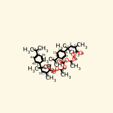 C/C(=C/C(C)(C)c1ccc(C(C)C)cc1)C(=O)OOC(C)OC(=O)OC(C)OOC(=O)/C(C)=C\C(C)(C)c1ccc(C(C)C)cc1